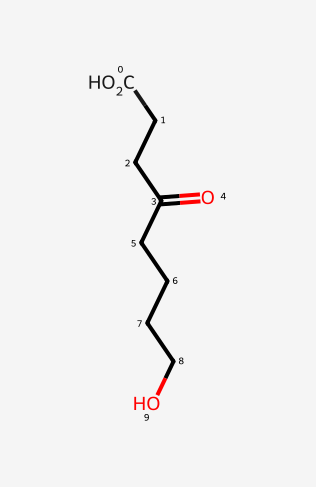 O=C(O)CCC(=O)CCCCO